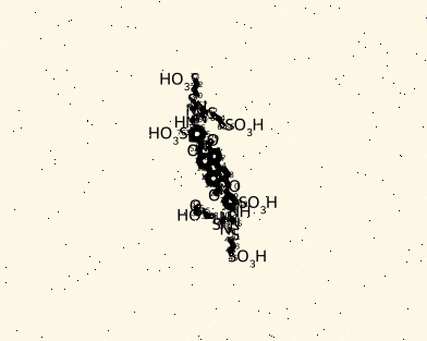 O=C1c2ccc3c4ccc5c6c(ccc(c7ccc(c2c37)C(=O)N1c1ccc(Nc2nc(SCCCS(=O)O)nc(SCCCS(=O)(=O)O)n2)c(S(=O)(=O)O)c1)c64)C(=O)N(c1ccc(Nc2nc(SCCCS(=O)(=O)O)nc(SCCCS(=O)(=O)O)n2)c(S(=O)(=O)O)c1)C5=O